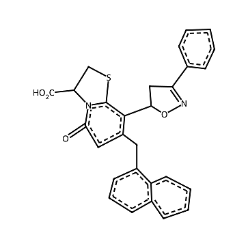 O=C(O)C1CSc2c(C3CC(c4ccccc4)=NO3)c(Cc3cccc4ccccc34)cc(=O)n21